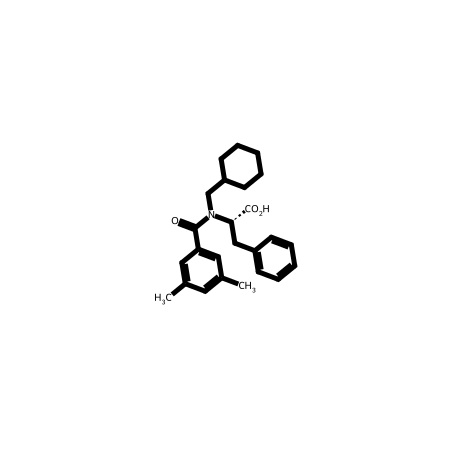 Cc1cc(C)cc(C(=O)N(CC2CCCCC2)[C@@H](Cc2ccccc2)C(=O)O)c1